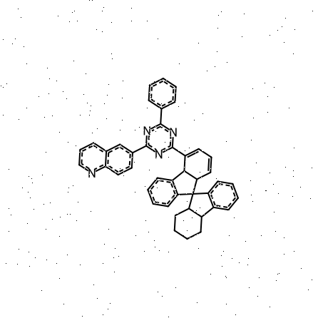 C1=CC2C(C(c3nc(-c4ccccc4)nc(-c4ccc5ncccc5c4)n3)=C1)c1ccccc1C21c2ccccc2C2CCCCC21